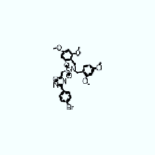 COc1ccc(CN(Cc2ccc(OC)cc2OC)S(=O)(=O)Cc2nc(-c3ccc(Br)cc3)no2)c(OC)c1